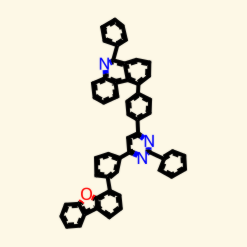 c1ccc(-c2nc(-c3ccc(-c4cccc5c(-c6ccccc6)nc6ccccc6c45)cc3)cc(-c3cccc(-c4cccc5c4oc4ccccc45)c3)n2)cc1